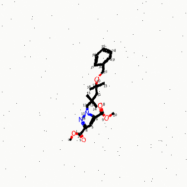 COC(=O)c1cc(C(=O)OC)n(CC(C)(C)CC(C)(C)OCc2ccccc2)n1